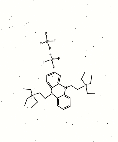 CC[N+](CC)(CC)CCN1c2ccccc2N(CC[N+](CC)(CC)CC)c2ccccc21.F[B-](F)(F)F.F[B-](F)(F)F